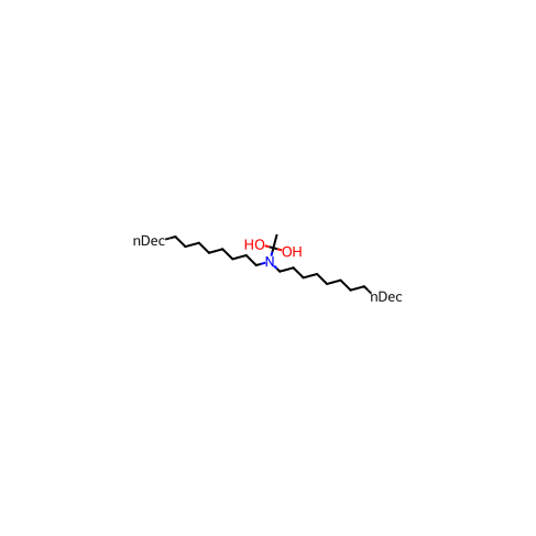 CCCCCCCCCCCCCCCCCCN(CCCCCCCCCCCCCCCCCC)C(C)(O)O